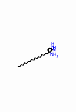 CCCCCCCCCCCCCCCCCCc1ccc2[nH]nnc2c1N